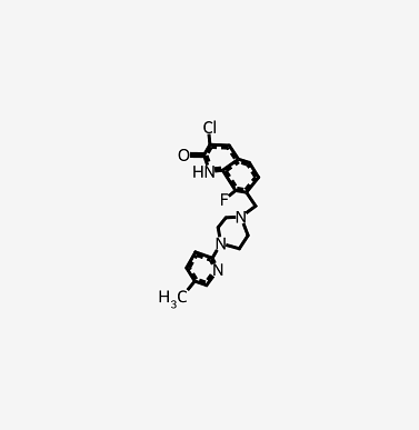 Cc1ccc(N2CCN(Cc3ccc4cc(Cl)c(=O)[nH]c4c3F)CC2)nc1